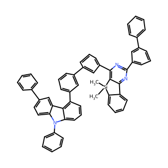 C[Si]1(C)c2ccccc2-c2nc(-c3cccc(-c4ccccc4)c3)nc(-c3cccc(-c4cccc(-c5cccc6c5c5cc(-c7ccccc7)ccc5n6-c5ccccc5)c4)c3)c21